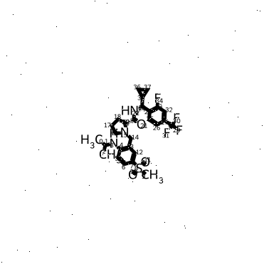 CC(C)Nc1ccc(S(C)(=O)=O)cc1CN1CCC[C@@H]1C(=O)N[C@@H](c1ccc(C(F)(F)F)cc1F)C1CC1